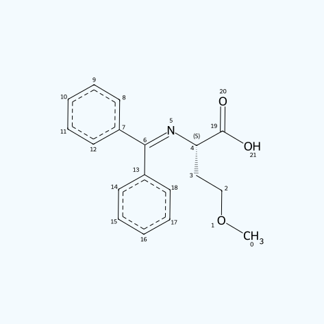 COCC[C@H](N=C(c1ccccc1)c1ccccc1)C(=O)O